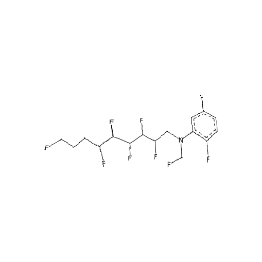 FCCCC(F)C(F)C(F)C(F)C(F)CN(CF)c1cc(F)ccc1F